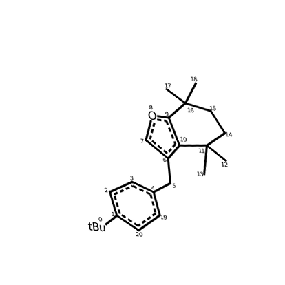 CC(C)(C)c1ccc(Cc2coc3c2C(C)(C)CCC3(C)C)cc1